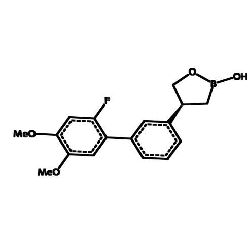 COc1cc(F)c(-c2cccc([C@H]3COB(O)C3)c2)cc1OC